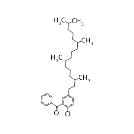 CC(C)CCC[C@@H](C)CCC[C@@H](C)CCCC(C)CCc1ccc(Cl)c(C(=O)c2ccccc2)c1